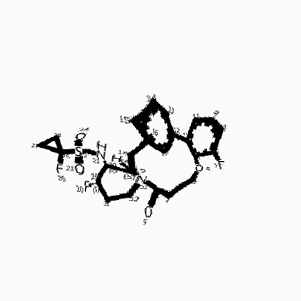 O=C1CCOc2c(F)cccc2-c2cccc(c2)C[C@H]2[C@@H](NS(=O)(=O)C3(F)CC3)[C@@H](F)CCN12